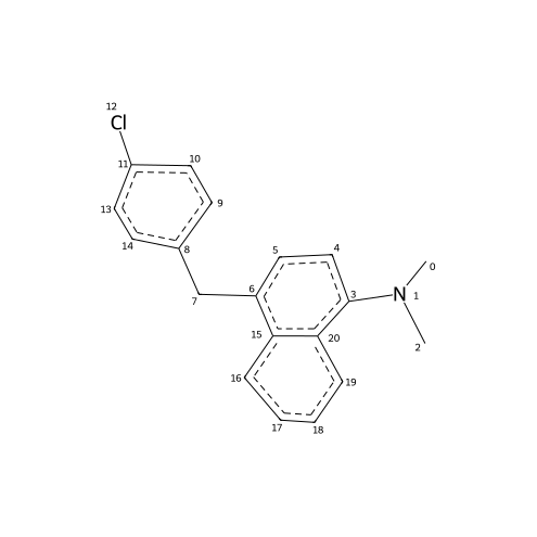 CN(C)c1ccc(Cc2ccc(Cl)cc2)c2ccccc12